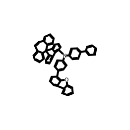 C1=Cc2ccccc2C2(c3ccccc31)c1ccccc1-c1c(N(c3ccc(-c4ccccc4)cc3)c3ccc(-c4cccc5c4oc4ccccc45)cc3)cccc12